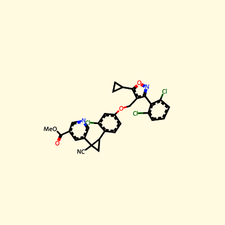 COC(=O)c1cncc(C2(C#N)CC2c2ccc(OCc3c(-c4c(Cl)cccc4Cl)noc3C3CC3)cc2Cl)c1